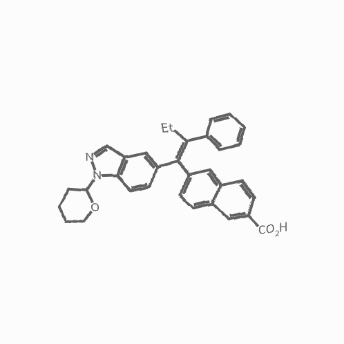 CCC(=C(c1ccc2cc(C(=O)O)ccc2c1)c1ccc2c(cnn2C2CCCCO2)c1)c1ccccc1